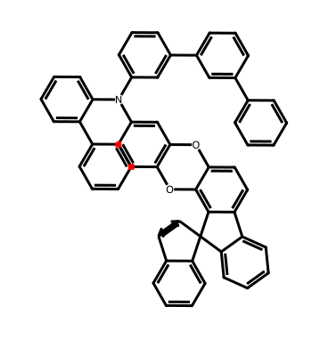 c1ccc(-c2cccc(-c3cccc(N(c4ccc5c(c4)Oc4ccc6c(c4O5)C4(c5ccccc5-c5ccccc54)c4ccccc4-6)c4ccccc4-c4ccccc4)c3)c2)cc1